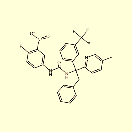 Cc1ccc(C(Cc2ccccc2)(NC(=O)Nc2ccc(F)c([N+](=O)[O-])c2)c2cccc(C(F)(F)F)c2)nc1